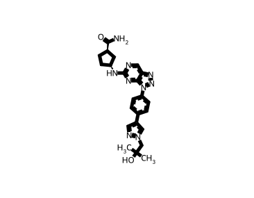 CC(C)(O)Cn1cc(-c2ccc(-n3nnc4cnc(N[C@@H]5CC[C@@H](C(N)=O)C5)nc43)cc2)cn1